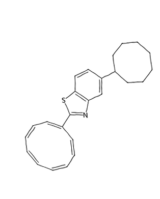 c1ccccc(-c2nc3cc(C4CCCCCCC4)ccc3s2)cccc1